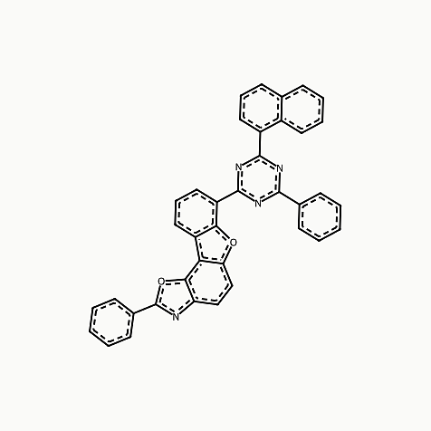 c1ccc(-c2nc(-c3cccc4ccccc34)nc(-c3cccc4c3oc3ccc5nc(-c6ccccc6)oc5c34)n2)cc1